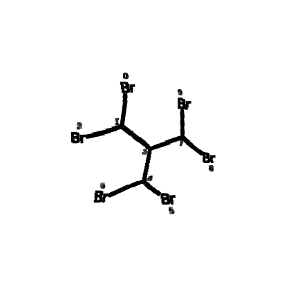 BrC(Br)C(C(Br)Br)C(Br)Br